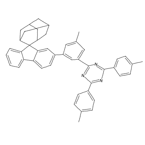 Cc1ccc(-c2nc(-c3ccc(C)cc3)nc(-c3cc(C)cc(-c4ccc5c(c4)C4(c6ccccc6-5)C5CC6CC(C5)CC4C6)c3)n2)cc1